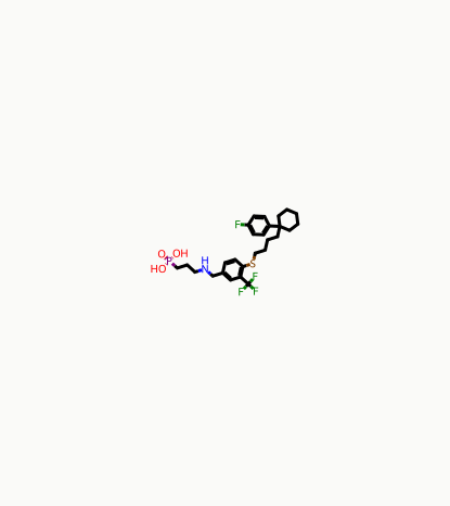 O=P(O)(O)CCCNCc1ccc(SCCCCC2(c3ccc(F)cc3)CCCCC2)c(C(F)(F)F)c1